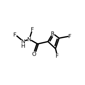 O=C(C1=BC(F)=C1F)N(F)NF